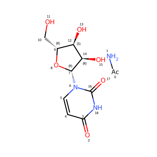 CC(N)=O.O=c1ccn([C@@H]2O[C@H](CO)[C@@H](O)[C@H]2O)c(=O)[nH]1